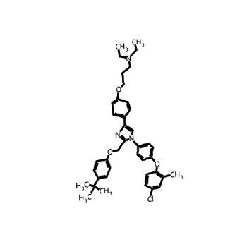 CCN(CC)CCCOc1ccc(-c2cn(-c3ccc(Oc4ccc(Cl)cc4C)cc3)c(COc3ccc(C(C)(C)C)cc3)n2)cc1